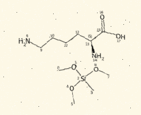 CO[Si](C)(OC)OC.NCCCC[C@H](N)C(=O)O